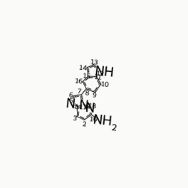 Nc1ccc2ncc(-c3ccc4[nH]ccc4c3)n2n1